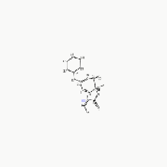 C=C(/C=C\C)C[N@+]1(C)C=CC(CC2CCCCC2)=CC1C